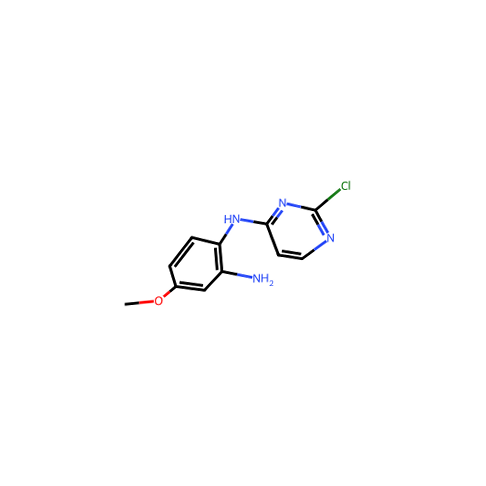 COc1ccc(Nc2ccnc(Cl)n2)c(N)c1